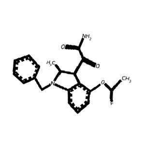 CC(F)Oc1cccc2c1C(C(=O)C(N)=O)C(C)N2Cc1ccccc1